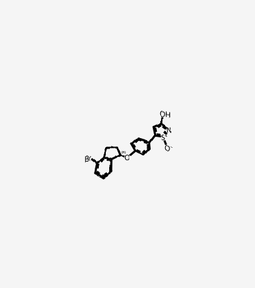 [O-][s+]1nc(O)cc1-c1ccc(O[C@@H]2CCc3c(Br)cccc32)cc1